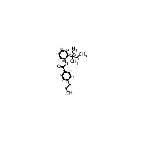 CCCc1ccc(C(=O)Oc2ccccc2C(C)(C)CC)cc1